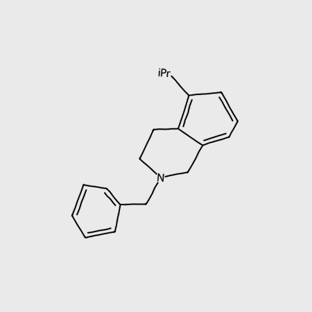 CC(C)c1cccc2c1CCN(Cc1ccccc1)C2